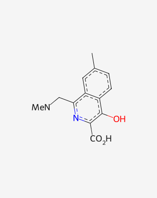 CNCc1nc(C(=O)O)c(O)c2ccc(C)cc12